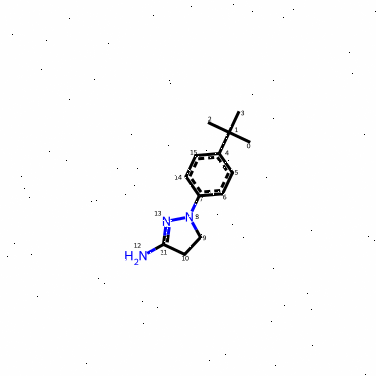 CC(C)(C)c1ccc(N2CCC(N)=N2)cc1